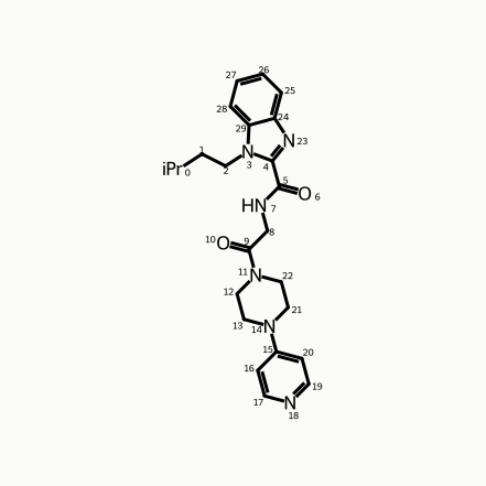 CC(C)CCn1c(C(=O)NCC(=O)N2CCN(c3ccncc3)CC2)nc2ccccc21